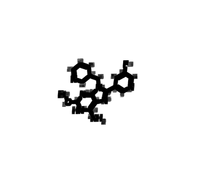 CCOC1N=c2c(nc(-c3cncc(F)c3)n2CC2C=CC=NC2)=C(N)N1